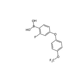 OB(O)c1ccc(Oc2ccc(OC(F)(F)F)cc2)cc1F